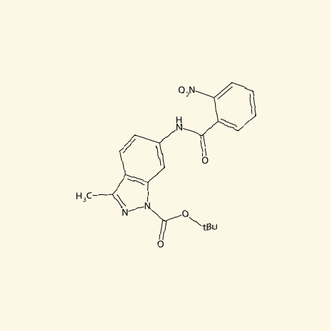 Cc1nn(C(=O)OC(C)(C)C)c2cc(NC(=O)c3ccccc3[N+](=O)[O-])ccc12